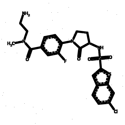 CN(CCN)C(=O)c1ccc(N2CCC(NS(=O)(=O)c3cc4ccc(Cl)cc4s3)C2=O)c(F)c1